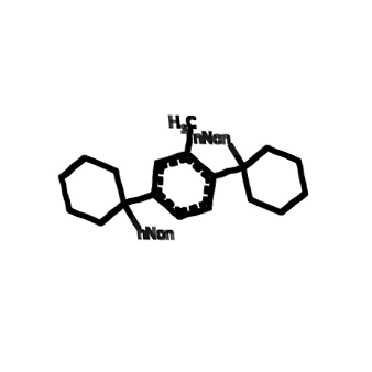 CCCCCCCCCC1(c2ccc(C3(CCCCCCCCC)CCCCC3)c(C)c2)CCCCC1